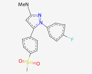 CNc1cc(-c2ccc(S(C)(=O)=O)cc2)n(-c2ccc(F)cc2)n1